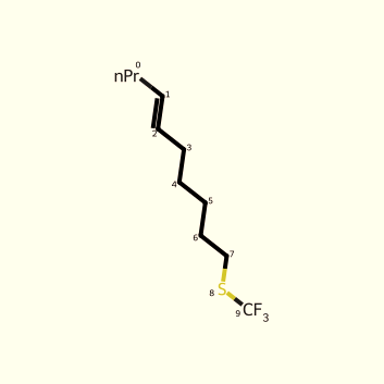 CCCC=CCCCCCSC(F)(F)F